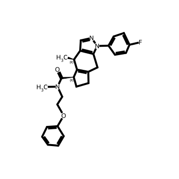 C[C@@H]1C2=C(CC[C@H]2C(=O)N(C)CCOc2ccccc2)Cc2c1cnn2-c1ccc(F)cc1